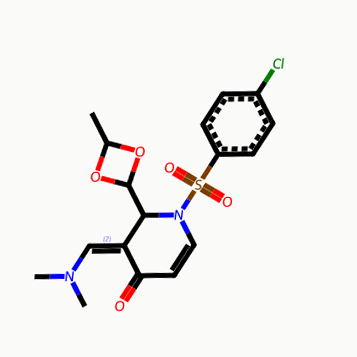 CC1OC(C2/C(=C/N(C)C)C(=O)C=CN2S(=O)(=O)c2ccc(Cl)cc2)O1